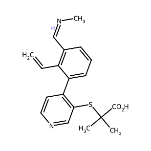 C=Cc1c(/C=N\C)cccc1-c1ccncc1SC(C)(C)C(=O)O